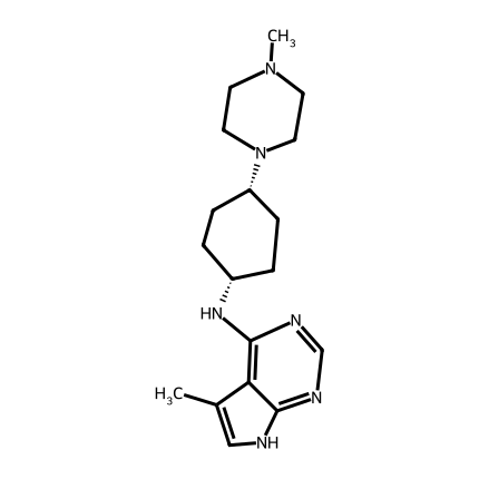 Cc1c[nH]c2ncnc(N[C@H]3CC[C@@H](N4CCN(C)CC4)CC3)c12